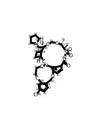 CC1C2=C3C=CC1C(=O)NS(=O)(=O)[C@H](C)[C@@H](C)CCC[C@](O)(CN1CCCC1)[C@@H]1CC[C@H]1CN2CCCCc1cc(Cl)ccc1CO3